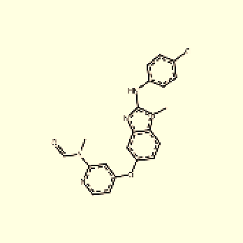 CN(C=O)c1cc(Oc2ccc3c(c2)nc(Nc2ccc(Cl)cc2)n3C)ccn1